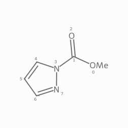 COC(=O)n1cc[c]n1